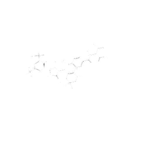 COc1ccc(C(=O)N(C)C(C(=O)O)C(C)C)cc1C1=C(CN2C(=O)O[C@H](c3cc(C(F)(F)F)cc(C(F)(F)F)c3)[C@@H]2C)CC(C)(C)CC1